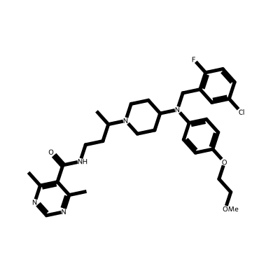 COCCOc1ccc(N(Cc2cc(Cl)ccc2F)C2CCN(C(C)CCNC(=O)c3c(C)ncnc3C)CC2)cc1